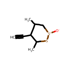 C#CC1C(C)C[S+]([O-])SC1C